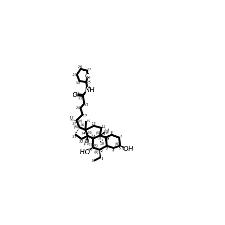 CC[C@@H]1C2C[C@H](O)CC[C@]2(C)[C@H]2CCC3(C)[C@@H]([C@H](C)CCCC(=O)NC4CCCCC4)CC[C@H]3C2[C@@H]1O